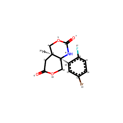 O=C1C[C@H]2COC(=O)N[C@@]2(c2cc(Br)ccc2F)CO1